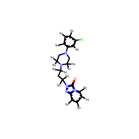 [2H]c1c([2H])c(Cl)c([2H])c(N2CC([2H])([2H])N(C([2H])([2H])CC([2H])([2H])n3nc4c([2H])c([2H])c([2H])c([2H])n4c3=O)C([2H])([2H])C2)c1[2H]